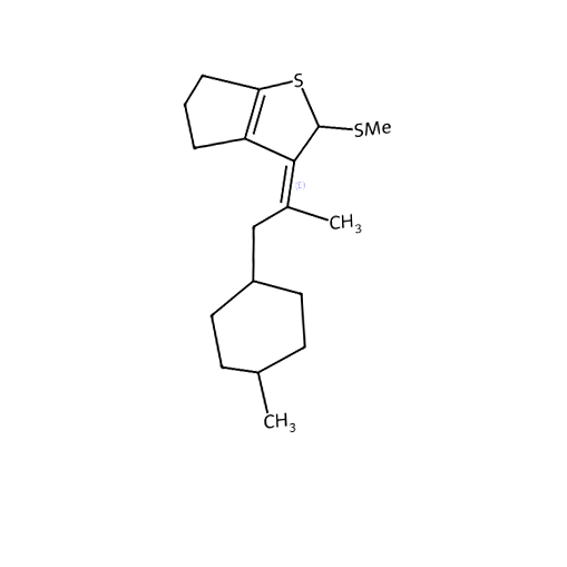 CSC1SC2=C(CCC2)/C1=C(/C)CC1CCC(C)CC1